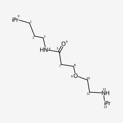 CC(C)CCCNC(=O)CCOCCNC(C)C